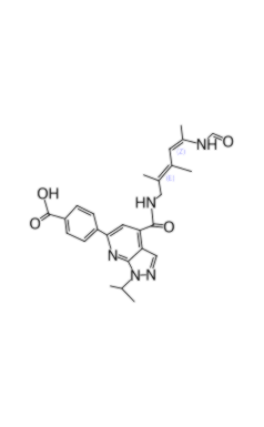 C/C(=C/C(C)=C(\C)CNC(=O)c1cc(-c2ccc(C(=O)O)cc2)nc2c1cnn2C(C)C)NC=O